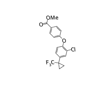 COC(=O)c1ccc(Oc2ccc(C3(C(F)(F)F)CC3)cc2Cl)cc1